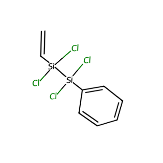 C=C[Si](Cl)(Cl)[Si](Cl)(Cl)c1ccccc1